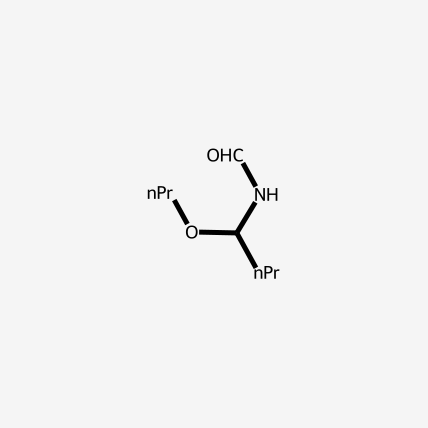 [CH2]CCC(NC=O)OCCC